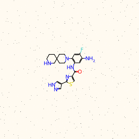 Nc1cc(NC(=O)c2csc(-c3cn[nH]c3)n2)c(N2CCC3(CCCNC3)CC2)cc1F